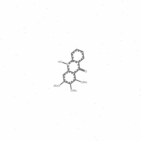 COc1cc2c(c(OC)c1OC)c(=O)c1ccccc1n2O